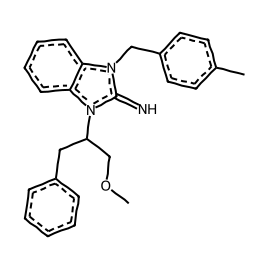 COCC(Cc1ccccc1)n1c(=N)n(Cc2ccc(C)cc2)c2ccccc21